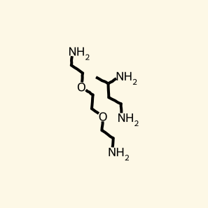 CC(N)CCN.NCCOCCOCCN